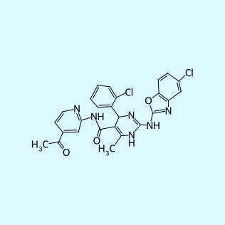 CC(=O)c1ccnc(NC(=O)C2=C(C)NC(Nc3nc4cc(Cl)ccc4o3)=NC2c2ccccc2Cl)c1